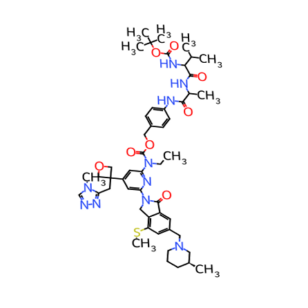 CCN(C(=O)OCc1ccc(NC(=O)C(C)NC(=O)C(NC(=O)OC(C)(C)C)C(C)C)cc1)c1cc(C2(Cc3nncn3C)COC2)cc(N2Cc3c(SC)cc(CN4CCC[C@H](C)C4)cc3C2=O)n1